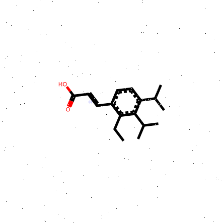 CCc1c(/C=C/C(=O)O)ccc(C(C)C)c1C(C)C